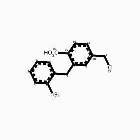 CCCCc1ccccc1Cc1cc(CCl)ccc1C(=O)O